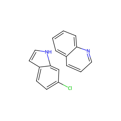 Clc1ccc2cc[nH]c2c1.c1ccc2ncccc2c1